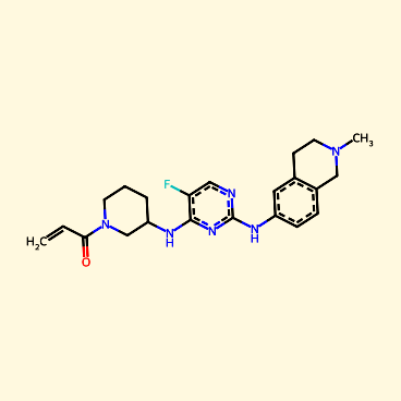 C=CC(=O)N1CCCC(Nc2nc(Nc3ccc4c(c3)CCN(C)C4)ncc2F)C1